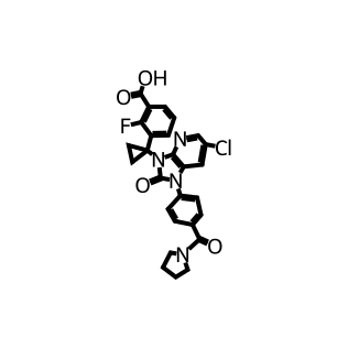 O=C(O)c1cccc(C2(n3c(=O)n(-c4ccc(C(=O)N5CCCC5)cc4)c4cc(Cl)cnc43)CC2)c1F